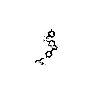 CC[C@@H](N)COc1ccc(-c2cnc3ccc(N[C@H](C)c4cccc(F)c4)nn23)cc1